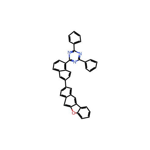 c1ccc(-c2nc(-c3ccccc3)nc(-c3cccc4cc(-c5ccc6cc7oc8ccccc8c7cc6c5)ccc34)n2)cc1